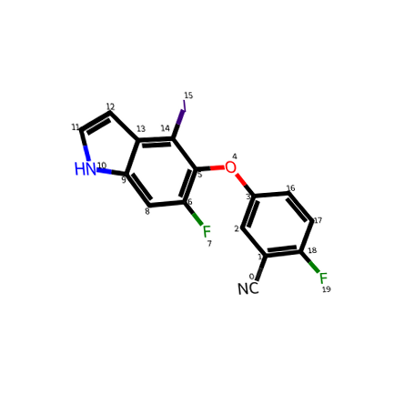 N#Cc1cc(Oc2c(F)cc3[nH]ccc3c2I)ccc1F